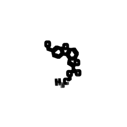 CCOC(=O)c1cc2c(ccc3oc4cc(C=O)ccc4c32)o1